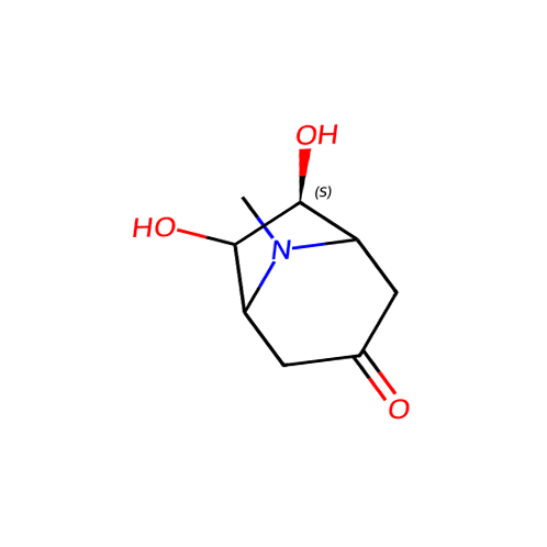 CN1C2CC(=O)CC1[C@H](O)C2O